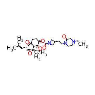 CCN1CCN(CCC2CN(C(=O)O[C@@H]3CC[C@]4(CO4)C([C@@]4(C)O[C@@H]4CC=C(C)C)[C@@H]3OC)C2)C(=O)C1